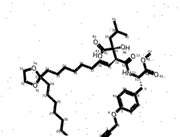 CC#CCOc1ccc(C[C@H](NC(=O)[C@@H](C=CCCCCCCC2(CCCCCCC)OCCO2)[C@@](O)(CC(C)C)C(=O)O)C(=O)OC)cc1